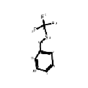 FC(F)(F)S[CH]c1ccccc1